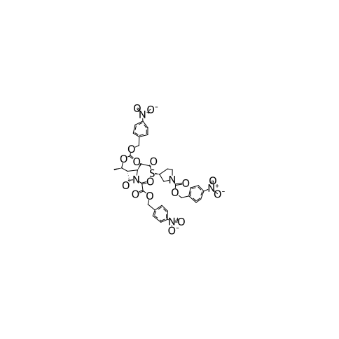 C[C@@H](OC(=O)OCc1ccc([N+](=O)[O-])cc1)[C@H]1C(=O)N(C(=O)C(=O)OCc2ccc([N+](=O)[O-])cc2)[C@@H]1CC(=O)S[C@H]1CCN(C(=O)OCc2ccc([N+](=O)[O-])cc2)C1